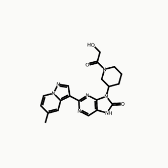 Cc1ccn2ncc(-c3ncc4[nH]c(=O)n(C5CCCN(C(=O)CO)C5)c4n3)c2c1